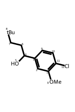 COc1cc(C(O)CCC(C)(C)C)ccc1Cl